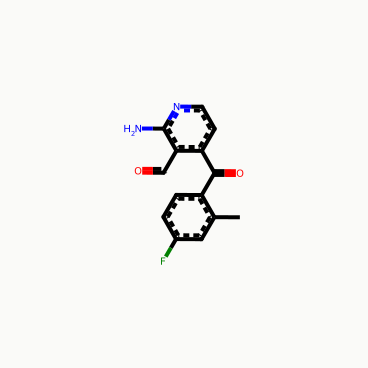 Cc1cc(F)ccc1C(=O)c1ccnc(N)c1[C]=O